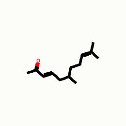 CC(=O)C=CCC(C)CCC=C(C)C